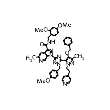 COc1ccc(Cn2nc(-n3nc(C(=O)NCc4ccc(OC)cc4OC)c4cc(C)ncc43)nc2-c2c(OCc3ccccc3)c(C)nn2CCc2ccncc2)cc1